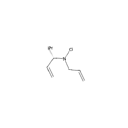 C=CCN(Cl)[C@H](C=C)C(C)C